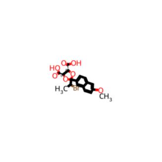 COc1ccc2cc(C3(C(C)Br)O[C@@H](C(=O)O)[C@H](C(=O)O)O3)ccc2c1